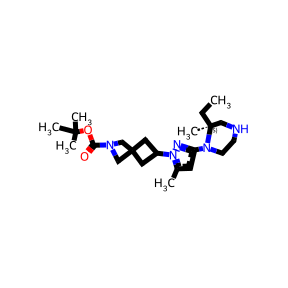 CC[C@@]1(C)CNCCN1c1cc(C)n(C2CC3(C2)CN(C(=O)OC(C)(C)C)C3)n1